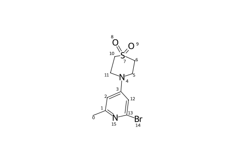 Cc1cc(N2CCS(=O)(=O)CC2)cc(Br)n1